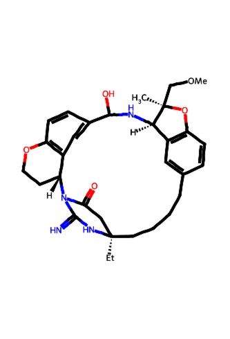 CC[C@]12CCCCc3ccc4c(c3)[C@@H](NC(O)c3ccc5c(c3)[C@@H](CCO5)N(C(=N)N1)C(=O)C2)[C@@](C)(COC)O4